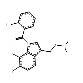 CN(C)CCc1cn(C(=O)c2ccccc2Br)c2c(Cl)c(Cl)ccc12